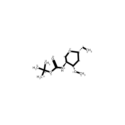 CC[C@@H]1C[C@H](OC)[C@@H](NC(=O)OC(C)(C)C)CO1